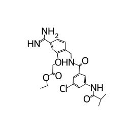 CCOC(=O)COc1cc(C(=N)N)ccc1CNC(=O)c1cc(Cl)cc(NC(=O)C(C)C)c1